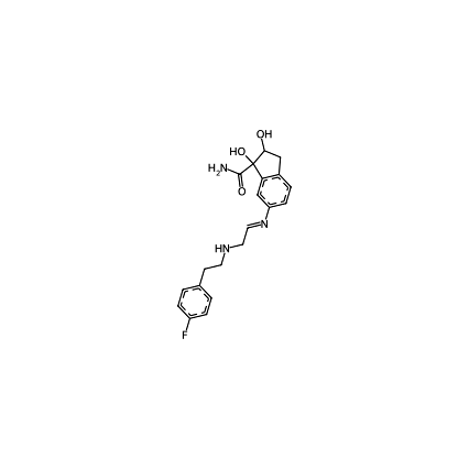 NC(=O)C1(O)c2cc(N=CCNCCc3ccc(F)cc3)ccc2CC1O